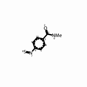 CNC(=O)c1ccc(N=S)cc1